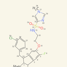 CNC1Cc2cc(F)c(OCCNS(=O)(=O)c3cn(C)cn3)cc2C1Cc1cccc(Cl)c1